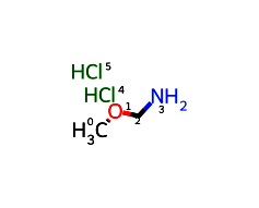 COCN.Cl.Cl